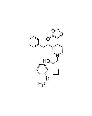 COc1ccccc1C1(C(O)CN2CCCC(C(Cc3ccccc3)OC3=COCO3)C2)CCC1